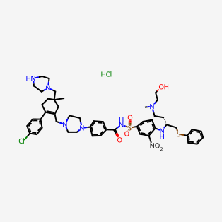 CN(CCO)CC[C@H](CSc1ccccc1)Nc1ccc(S(=O)(=O)NC(=O)c2ccc(N3CCN(CC4=C(c5ccc(Cl)cc5)CCC(C)(CN5CCNCC5)C4)CC3)cc2)cc1[N+](=O)[O-].Cl